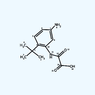 CC(C)(C)c1ccc(N)cc1NC(=O)C(=O)O